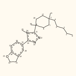 CCCCCC1(C)CCC(C)(c2nnc(-c3ccc4c(c3)CCO4)n2C)CC1